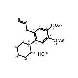 C=CCc1cc(OC)c(OC)cc1N1CCCCC1.Cl